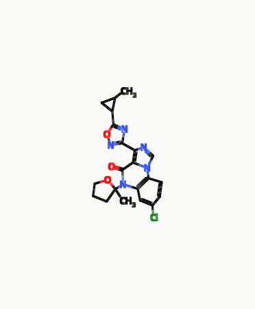 CC1CC1c1nc(-c2ncn3c2c(=O)n(C2(C)CCCO2)c2cc(Cl)ccc23)no1